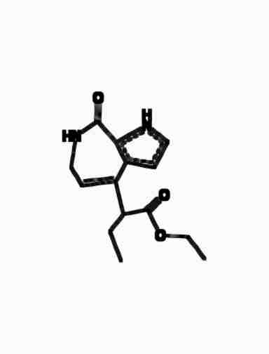 CCOC(=O)C(CC)C1=CCNC(=O)c2[nH]ccc21